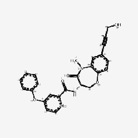 CN1C(=O)[C@@H](NC(=O)c2cc(Oc3ccccc3)ccn2)COc2ccc(C#CCO)cc21